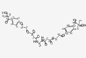 C=C(NC(=O)CC(=O)OCCOc1ccc(C(=O)C(C)(C)O)cc1)NC(=O)CC(=O)OCCOc1ccc(C(=O)C(C)(C)O)cc1